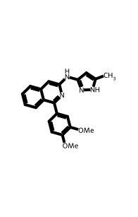 COc1ccc(-c2nc(Nc3cc(C)[nH]n3)cc3ccccc23)cc1OC